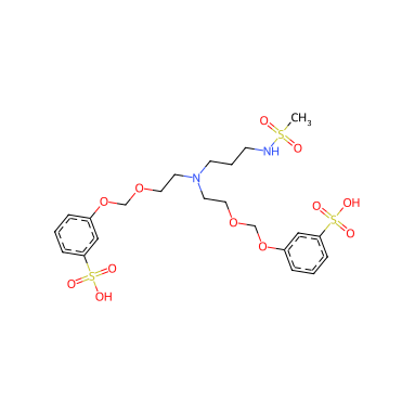 CS(=O)(=O)NCCCN(CCOCOc1cccc(S(=O)(=O)O)c1)CCOCOc1cccc(S(=O)(=O)O)c1